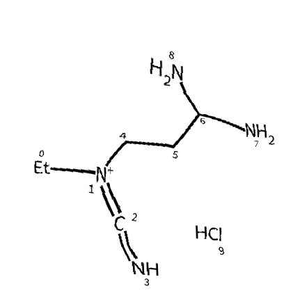 CC[N+](=C=N)CCC(N)N.Cl